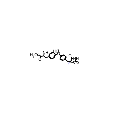 COC(=O)C(N)Cc1ccc(Oc2ccc(/C=C3/SC(=S)NC3=O)cc2)cc1.Cl